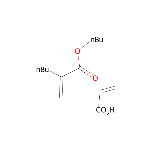 C=C(CCCC)C(=O)OCCCC.C=CC(=O)O